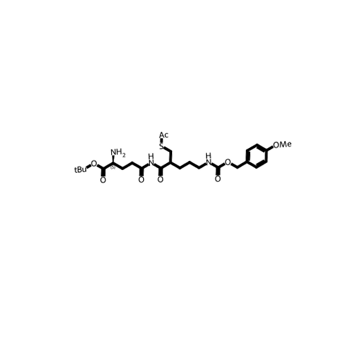 COc1ccc(COC(=O)NCCCC(CSC(C)=O)C(=O)NC(=O)CC[C@H](N)C(=O)OC(C)(C)C)cc1